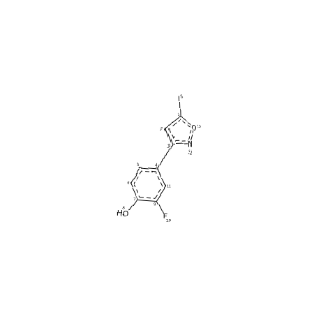 Cc1cc(-c2ccc(O)c(F)c2)no1